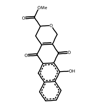 COC(=O)C1CC2=C(CO1)C(=O)c1c(cc3ccccc3c1O)C2=O